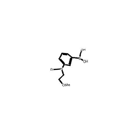 CCN(CCOC)c1cccc(B(O)O)c1